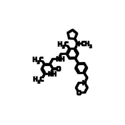 Cc1cc(C)c(CNCc2cc(-c3ccc(CN4CCOCC4)cc3)cc(N(C)C3CCCC3)c2C)c(=O)[nH]1